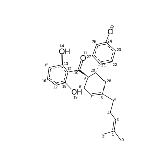 CC(C)=CCCC1=CC[C@@H](C(=O)c2c(O)cccc2O)[C@H](c2ccc(Cl)cc2)C1